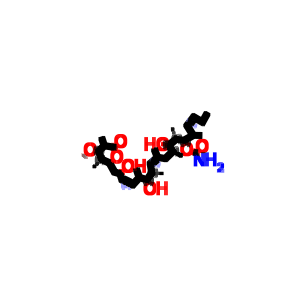 CC/C=C\C(C)[C@H](OC(N)=O)[C@@H](C)[C@H](O)[C@@H](C)C/C(C)=C\[C@H](C)[C@@H](O)C(C)/C=C\C(O)CC1OC(=O)C(C)[C@@H](OC)[C@H]1C